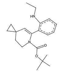 CCNc1ccccc1C1=CC2(CCN1C(=O)OC(C)(C)C)CC2